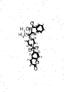 CC(c1nc2ccccc2c(=O)n1C)N1CCN(S(=O)(=O)c2ccc3oc(=O)ccc3c2)CC1